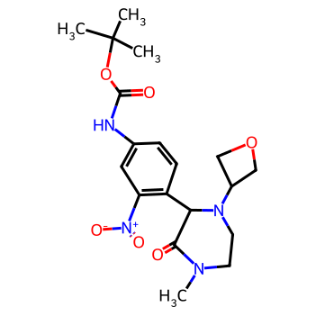 CN1CCN(C2COC2)C(c2ccc(NC(=O)OC(C)(C)C)cc2[N+](=O)[O-])C1=O